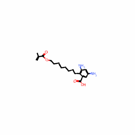 C=C(C)C(=O)OCCCCCCCCc1c(N)cc(N)cc1C(=O)O